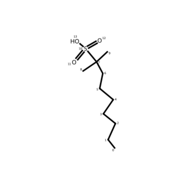 CCCCCCCC(C)(C)S(=O)(=O)O